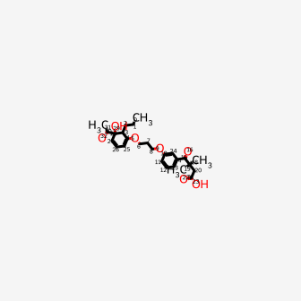 CCCC1C(OCCCOc2cccc(C(=O)C(C)(C)CC(=O)O)c2)=CC=CC1(O)C(C)=O